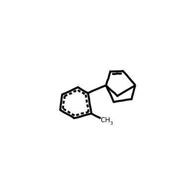 Cc1ccccc1C12C=CC(CC1)C2